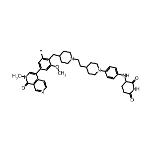 COc1cc(-c2cn(C)c(=O)c3cnccc23)cc(F)c1CC1CCN(CCC2CCN(c3ccc(NC4CCC(=O)NC4=O)cc3)CC2)CC1